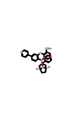 COc1cccc2c1Oc1cc(-c3ccncc3)ccc1N2[C@H]1C[C@H]2CC[C@@H](C1)N2Cc1ccccn1